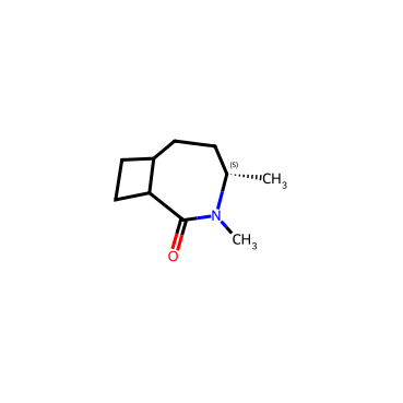 C[C@H]1CCC2CCC2C(=O)N1C